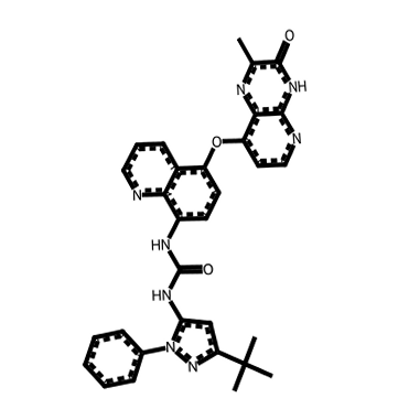 Cc1nc2c(Oc3ccc(NC(=O)Nc4cc(C(C)(C)C)nn4-c4ccccc4)c4ncccc34)ccnc2[nH]c1=O